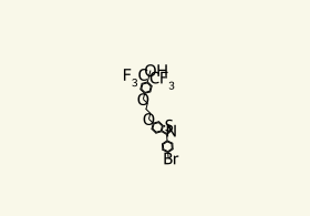 OC(c1ccc(OCCCOc2ccc3c(-c4ccc(Br)cc4)nsc3c2)cc1)(C(F)(F)F)C(F)(F)F